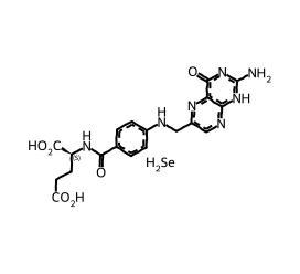 Nc1nc(=O)c2nc(CNc3ccc(C(=O)N[C@@H](CCC(=O)O)C(=O)O)cc3)cnc2[nH]1.[SeH2]